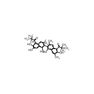 Cc1cc2c(O)c(-c3c(C)cc4c(C(=O)C(C)(C)C)c(O)c(O)cc4c3O)c(C)cc2c(C(=O)C(C)(C)C)c1O